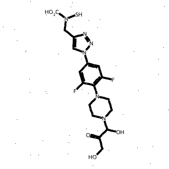 O=C(CO)C(O)N1CCN(c2c(F)cc(-n3cc(CN(S)C(=O)O)nn3)cc2F)CC1